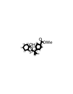 COC(=O)c1ccc(C2(C3=NC4(O)CCCCC4S3)CC2)cc1